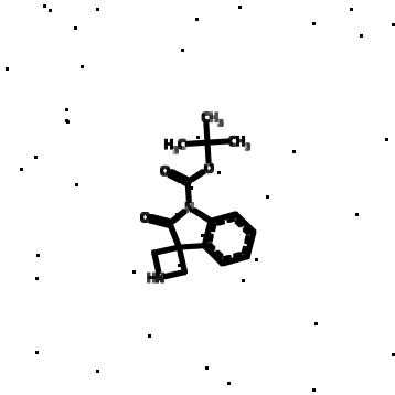 CC(C)(C)OC(=O)N1C(=O)C2(CNC2)c2ccccc21